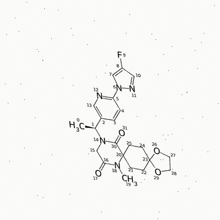 C[C@@H](c1ccc(-n2cc(F)cn2)nc1)N1CC(=O)N(C)C2(CCC3(CC2)OCCO3)C1=O